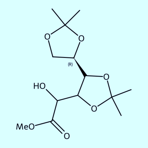 COC(=O)C(O)C1OC(C)(C)OC1[C@H]1COC(C)(C)O1